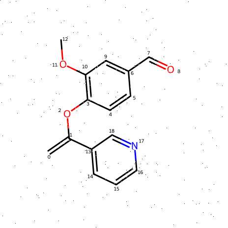 C=C(Oc1ccc(C=O)cc1OC)c1cccnc1